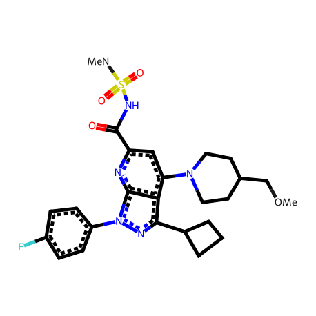 CNS(=O)(=O)NC(=O)c1cc(N2CCC(COC)CC2)c2c(C3CCC3)nn(-c3ccc(F)cc3)c2n1